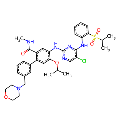 CNC(=O)c1cc(Nc2ncc(Cl)c(Nc3ccccc3S(=O)(=O)C(C)C)n2)c(OC(C)C)cc1-c1cccc(CN2CCOCC2)c1